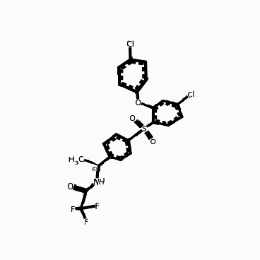 C[C@H](NC(=O)C(F)(F)F)c1ccc(S(=O)(=O)c2ccc(Cl)cc2Oc2ccc(Cl)cc2)cc1